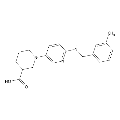 Cc1cccc(CNc2ccc(N3CCCC(C(=O)O)C3)cn2)c1